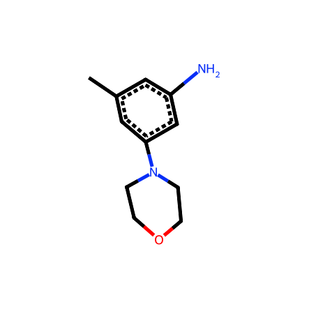 Cc1cc(N)cc(N2CCOCC2)c1